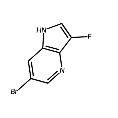 Fc1c[nH]c2cc(Br)cnc12